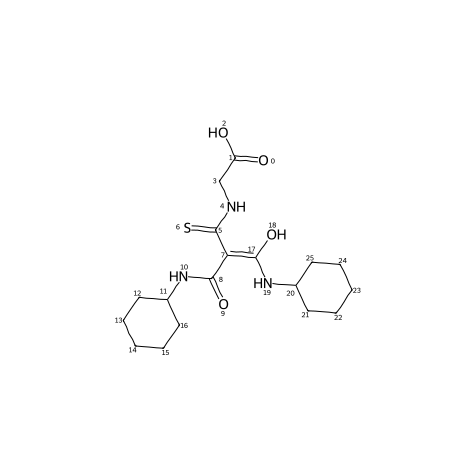 O=C(O)CNC(=S)/C(C(=O)NC1CCCCC1)=C(\O)NC1CCCCC1